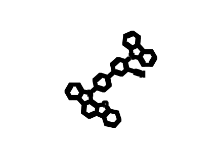 N#Cc1cc(-c2ccc(-n3c4ccccc4c4ccc5c6c(oc5c43)CCC=C6)cc2)ccc1-n1c2ccccc2c2ccccc21